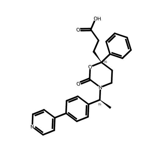 C[C@@H](c1ccc(-c2ccncc2)cc1)N1CC[C@@](CCC(=O)O)(c2ccccc2)OC1=O